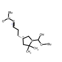 CC(C)(C)OC(O)N1C[C@@H](CC/C=N/[S+]([O-])C(C)(C)C)CC1(C)C